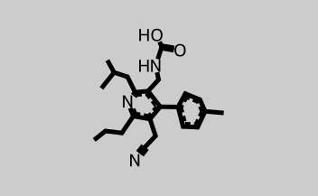 CCCc1nc(CC(C)C)c(CNC(=O)O)c(-c2ccc(C)cc2)c1CC#N